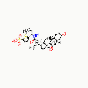 CCC(NC(=O)C[C@@H](C)C1CC[C@H]2[C@@H]3C(=O)C[C@@H]4CC(=O)CC[C@]4(C)[C@H]3CC[C@]12C)c1ccc(S(=O)(=O)O)s1